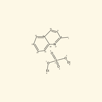 CCOS(=O)(=O)OCC.Cc1ccc2ccccc2n1